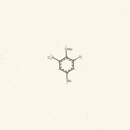 COc1c(Br)cc(C(C)(C)C)cc1[N+](=O)[O-]